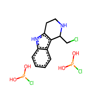 ClCC1NCCc2[nH]c3ccccc3c21.OP(O)Cl.OP(O)Cl